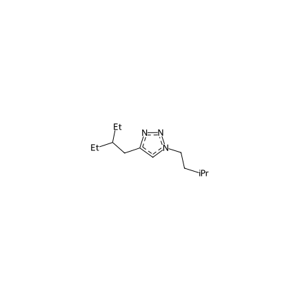 CCC(CC)Cc1cn(CCC(C)C)nn1